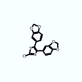 Clc1nc(-c2ccc3c(c2)OCO3)c(-c2ccc3c(c2)OCO3)s1